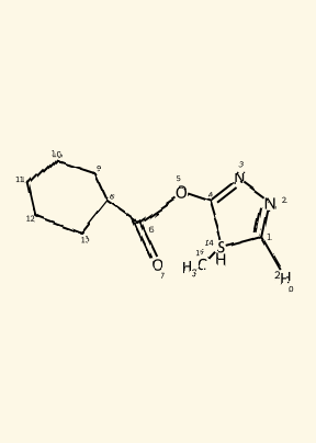 [2H]C1=NN=C(OC(=O)C2CCCCC2)[SH]1C